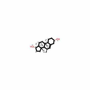 C[C@@H]1C=C2C[C@@H](O)CC[C@]2(C)[C@H]2CC[C@]3(C)[C@@H](O)CC[C@H]3[C@H]12